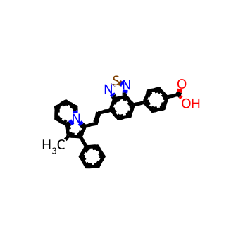 Cc1c(-c2ccccc2)c(/C=C/c2ccc(-c3ccc(C(=O)O)cc3)c3nsnc23)n2ccccc12